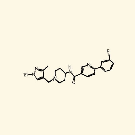 CCn1cc(CN2CCC(NC(=O)c3ccc(-c4cccc(F)c4)nc3)CC2)c(C)n1